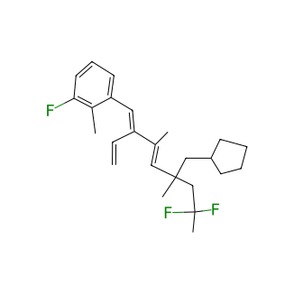 C=CC(=C\c1cccc(F)c1C)/C(C)=C/C(C)(CC1CCCC1)CC(C)(F)F